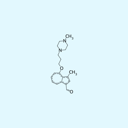 Cc1cc(C=O)c2ccccc(OCCCN3CCN(C)CC3)c1-2